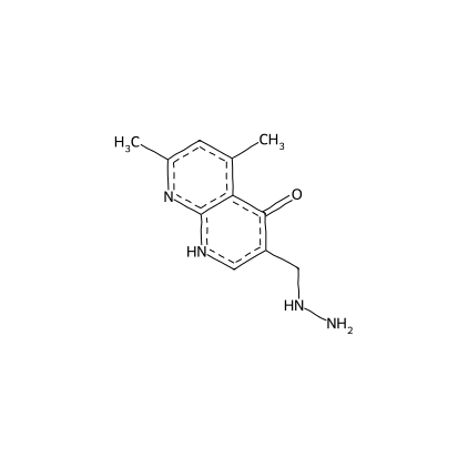 Cc1cc(C)c2c(=O)c(CNN)c[nH]c2n1